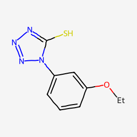 CCOc1cccc(-n2nnnc2S)c1